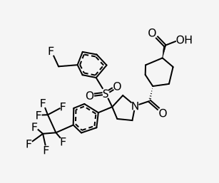 O=C(O)[C@H]1CC[C@H](C(=O)N2CCC(c3ccc(C(F)(C(F)(F)F)C(F)(F)F)cc3)(S(=O)(=O)c3cccc(CF)c3)C2)CC1